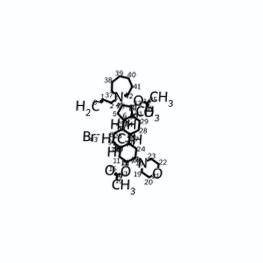 C=CC[N+]1([C@H]2C[C@H]3[C@@H]4CC[C@H]5C[C@H](OC(C)=O)[C@@H](N6CCOCC6)C[C@]5(C)[C@H]4CC[C@]3(C)[C@H]2OC(C)=O)CCCCCC1.[Br-]